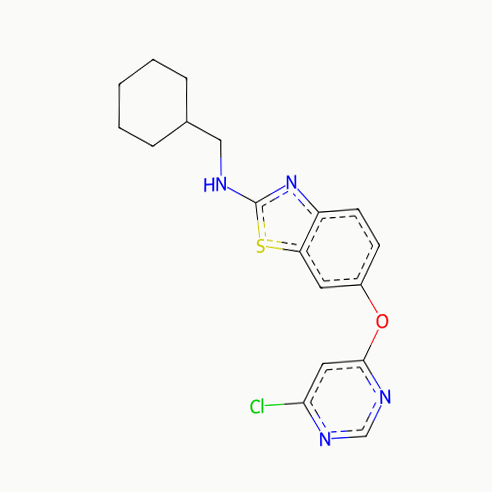 Clc1cc(Oc2ccc3nc(NCC4CCCCC4)sc3c2)ncn1